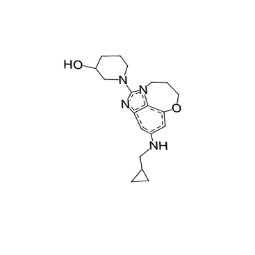 OC1CCCN(c2nc3cc(NCC4CC4)cc4c3n2CCCO4)C1